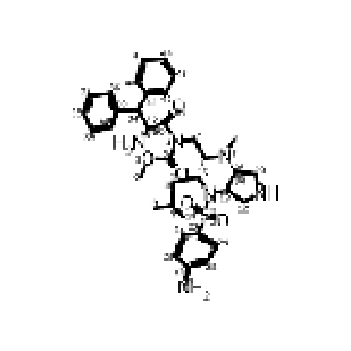 COC(=O)N(CCN(C)[C@@H]1CNC[C@H]1N(CCC(C)C)S(=O)(=O)c1ccc(N)cc1)C(=O)[C@@H](N)C(c1ccccc1)c1ccccc1